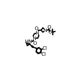 CC(C)(C)OC(=O)N1CC(C(=O)N2CCN(C(=O)NC3(C#Cc4ccc(Cl)c(Cl)c4)CC3)CC2)C1